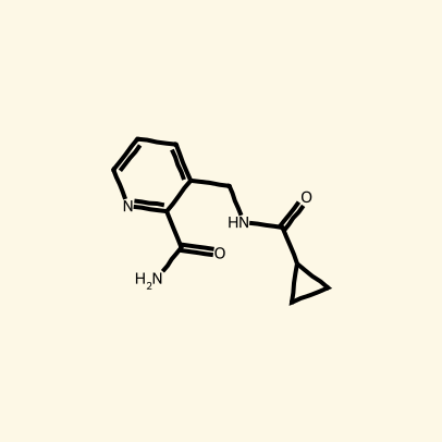 NC(=O)c1ncccc1CNC(=O)C1CC1